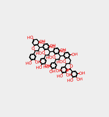 O=C(O[C@@H]1Cc2c(O)cc(O)c(C3c4c(O)cc(O)c(C5c6c(O)cc(O)c(C7C8=C(C=C(O)CC8O)OC(c8ccc(O)c(O)c8)[C@H]7O)c6OC(c6ccc(O)c(O)c6)[C@@H]5O)c4OC(c4cc(O)c(O)c(O)c4)[C@@H]3O)c2OC1c1ccc(O)c(O)c1)c1cc(O)c(O)c(O)c1